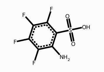 Nc1c(F)c(F)c(F)c(F)c1S(=O)(=O)O